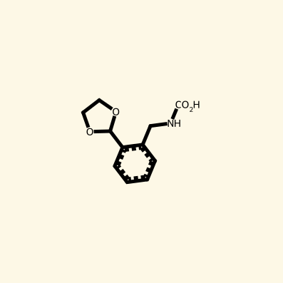 O=C(O)NCc1ccccc1C1OCCO1